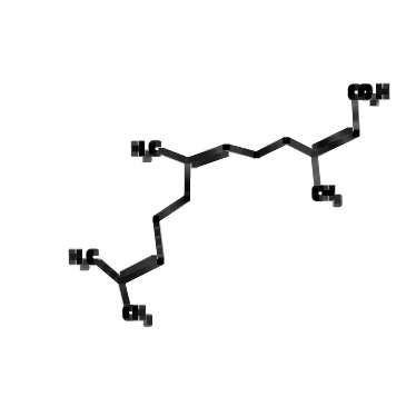 CC(C)=CCCC(C)=CCCC(C)=CC(=O)O